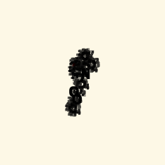 O=C(Cc1ccc(-c2nc3c(c4ccccc24)C2(c4ccccc4-c4ccccc42)c2ccccc2-3)cc1)OCc1ccccc1